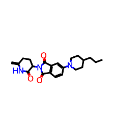 C=C1CCC(N2C(=O)c3ccc(N4CCC(CCC)CC4)cc3C2=O)C(=O)N1